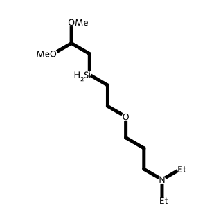 CCN(CC)CCCOCC[SiH2]CC(OC)OC